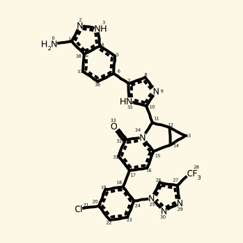 Nc1n[nH]c2cc(-c3cnc(C4C5CC5c5cc(-c6cc(Cl)ccc6-n6cc(C(F)(F)F)nn6)cc(=O)n54)[nH]3)ccc12